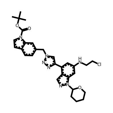 CC(C)(C)OC(=O)n1ccc2ccc(Cn3cc(-c4cc(NCCCl)cc5c4cnn5C4CCCCO4)nn3)cc21